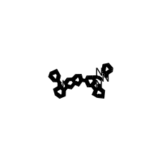 c1ccc(-n2c3ccccc3c3cc4cc(-c5cc6c7ccccc7n7c8nc9ccccc9nc8c(c5)c67)ccc4cc32)cc1